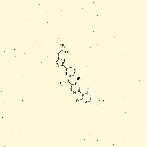 CC(C)c1cc(-c2c(F)cccc2F)nnc1C(C)c1cncc(-c2ccn(C[C@@H](O)C(F)(F)F)n2)n1